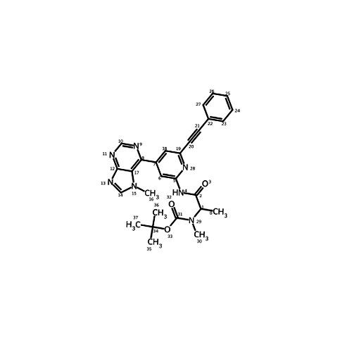 CC(C(=O)Nc1cc(-c2ncnc3ncn(C)c23)cc(C#Cc2ccccc2)n1)N(C)C(=O)OC(C)(C)C